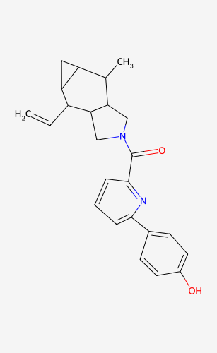 C=CC1C2CC2C(C)C2CN(C(=O)c3cccc(-c4ccc(O)cc4)n3)CC12